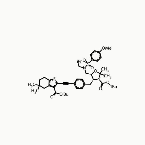 COc1ccc(S(=O)(=O)N(CC(C)C)C[C@H]2OC(C)(C)N(C(=O)OC(C)(C)C)[C@H]2Cc2ccc(C#Cc3sc4c(c3C(=O)OCC(C)C)CC(C)(C)CC4)cc2)cc1